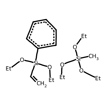 C=C[Si](OCC)(OCC)c1ccccc1.CCO[Si](C)(OCC)OCC